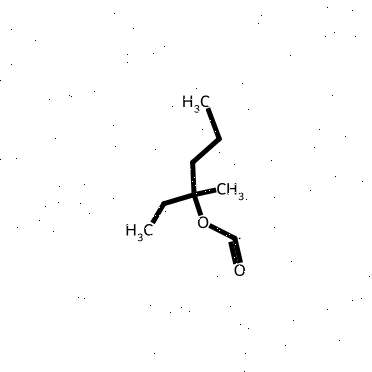 CCCC(C)(CC)O[C]=O